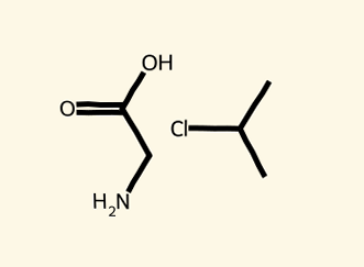 CC(C)Cl.NCC(=O)O